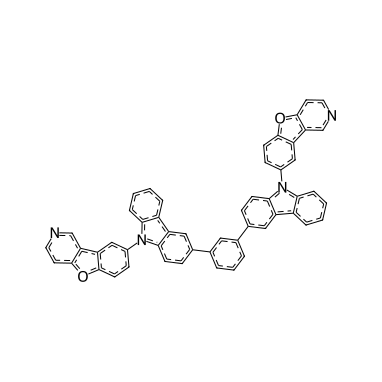 c1cc(-c2ccc3c(c2)c2ccccc2n3-c2ccc3oc4ccncc4c3c2)cc(-c2ccc3c(c2)c2ccccc2n3-c2ccc3oc4ccncc4c3c2)c1